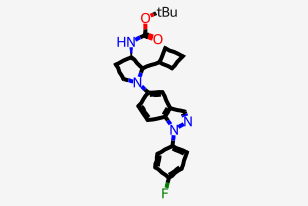 CC(C)(C)OC(=O)N[C@@H]1CCN(c2ccc3c(cnn3-c3ccc(F)cc3)c2)C1C1CCC1